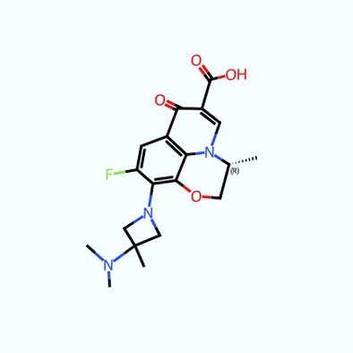 C[C@@H]1COc2c(N3CC(C)(N(C)C)C3)c(F)cc3c(=O)c(C(=O)O)cn1c23